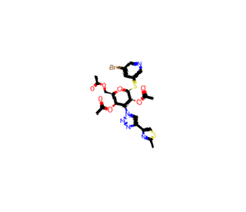 CC(=O)OC[C@H]1O[C@H](Sc2cncc(Br)c2)[C@H](OC(C)=O)[C@@H](n2cc(-c3csc(C)n3)nn2)[C@H]1OC(C)=O